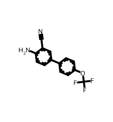 N#Cc1cc(-c2ccc(OC(F)(F)F)cc2)ccc1N